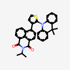 CC(C)N1C(=O)c2cccc3c(-c4ccsc4N4c5ccccc5C(C)(C)c5ccccc54)ccc(c23)C1=O